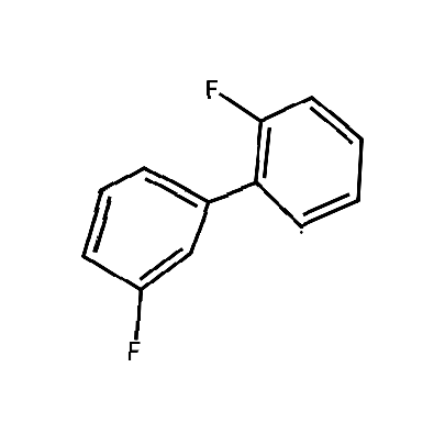 Fc1cccc(-c2[c]cccc2F)c1